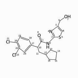 O=C(Nc1nc(CO)cs1)C(CC1CCCC1)c1ccc(Cl)c(Cl)c1